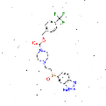 O=C(OCc1ccc(C(F)(F)F)cc1)N1CCN(CC[S+]([O-])c2ccc3nn[nH]c3c2)CC1